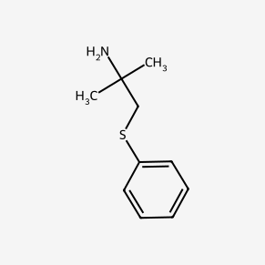 CC(C)(N)CSc1ccccc1